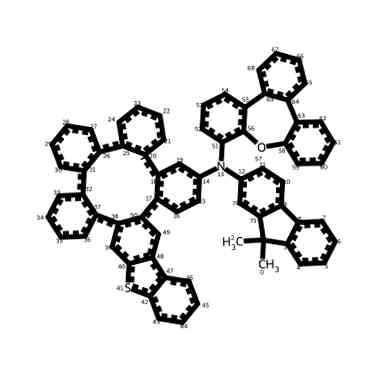 CC1(C)c2ccccc2-c2ccc(N(c3ccc4c(c3)c3ccccc3c3ccccc3c3ccccc3c3cc5sc6ccccc6c5cc43)c3cccc4c3Oc3ccccc3-c3ccccc3-4)cc21